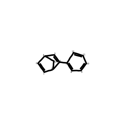 C1=CC2CC1C=C2c1ccccc1